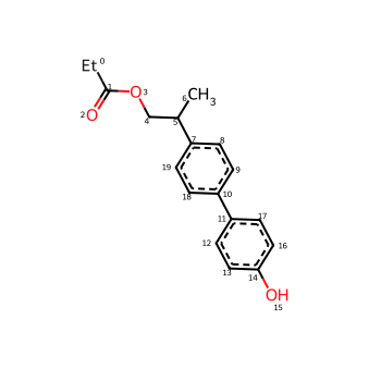 CCC(=O)OCC(C)c1ccc(-c2ccc(O)cc2)cc1